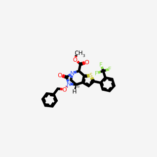 COC(=O)C1c2sc(-c3ccccc3C(F)(F)F)cc2[C@H]2CN1C(=O)N2OCc1ccccc1